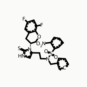 O=[N+]([O-])c1ccccc1S(=O)(=O)N(CCc1c[nH]c(=S)n1[C@H]1COc2c(F)cc(F)cc2C1)Cc1ccccc1